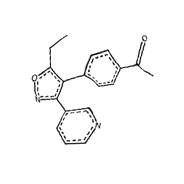 CCc1onc(-c2cccnc2)c1-c1ccc(C(C)=O)cc1